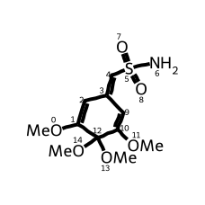 COC1=CC(=CS(N)(=O)=O)C=C(OC)C1(OC)OC